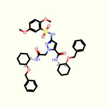 COc1ccc(OC)c(S(=O)(=O)Nc2cc(C(=O)N[C@H]3CCCC[C@@H]3OCc3ccccc3)n(CC(=O)N[C@H]3CCCC[C@@H]3OCc3ccccc3)n2)c1